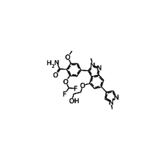 COc1cc(-c2c3c(OCCO)cc(-c4cnn(C)c4)cc3nn2C)cc(OC(F)F)c1C(N)=O